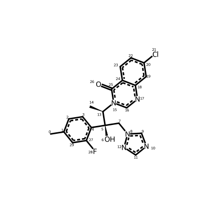 Cc1ccc([C@@](O)(Cn2cncn2)[C@@H](C)n2cnc3cc(Cl)ccc3c2=O)c(F)c1